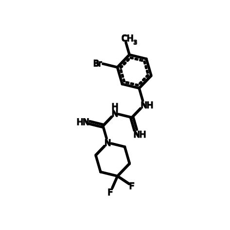 Cc1ccc(NC(=N)NC(=N)N2CCC(F)(F)CC2)cc1Br